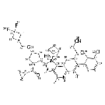 Cc1nc2c(F)c(-c3cccc(Cl)c3Cl)c(CCC#N)cc2c2c1cc(C1CC(OCC3CC(F)(F)C3)CN1C(=O)C1CC1)n2C1C2CNC1C2